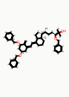 C=C1/C(=C\C=C2CCC[C@@]3(C)C2CC[C@@H]3[C@H](C)CC[C@H](OCc2ccccc2)C(C)(C)O)C[C@@H](OCc2ccccc2)C[C@H]1OCc1ccccc1